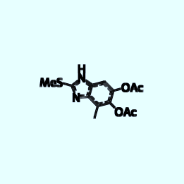 [CH2]Sc1nc2c(C)c(OC(C)=O)c(OC(C)=O)cc2[nH]1